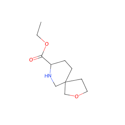 CCOC(=O)C1CCC2(CCOC2)CN1